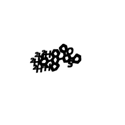 [2H]c1c([2H])c([2H])c(-c2c3ccccc3c(-c3cc4sc5ccccc5c4c4oc5ccccc5c34)c3ccccc23)c([2H])c1[2H]